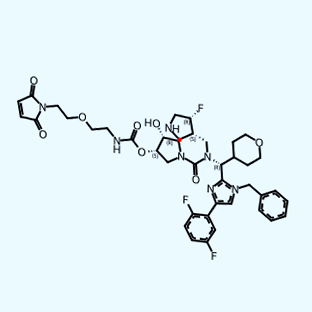 O=C(NCCOCCN1C(=O)C=CC1=O)O[C@H]1CN(C(=O)N(C[C@@H]2CNC[C@@H]2F)[C@@H](c2nc(-c3cc(F)ccc3F)cn2Cc2ccccc2)C2CCOCC2)C[C@H]1O